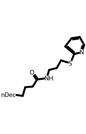 CCCCCCCCCCCCCC(=O)NCCCSc1ccccn1